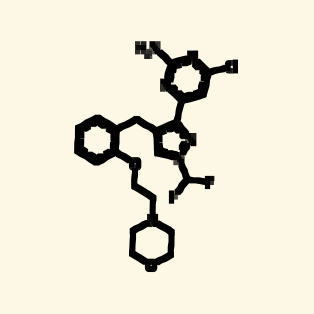 Nc1nc(Cl)cc(-c2nn(C(F)F)cc2Cc2ccccc2OCCN2CCOCC2)n1